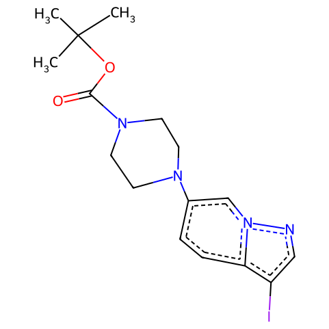 CC(C)(C)OC(=O)N1CCN(c2ccc3c(I)cnn3c2)CC1